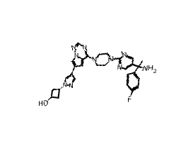 CC(N)(c1ccc(F)cc1)c1cnc(N2CCN(c3ncnn4cc(-c5cnn([C@H]6C[C@H](O)C6)c5)cc34)CC2)nc1